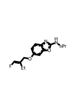 CCCNc1nc2ccc(OC/C(=C/F)CC)cc2o1